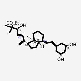 C=C(/C=C/[C@H](O)C(C)(C)C(=O)OCC)[C@H]1CC[C@H]2/C(=C/C=C3C[C@@H](O)C[C@H](O)C3)CCC[C@]12C